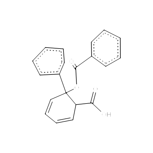 O=C(OC1(c2ccccc2)C=CC=CC1C(=O)O)c1ccccc1